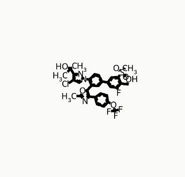 Cc1nc(-c2ccc(OC(F)(F)F)cc2)c(-c2cc(-c3cc(F)c(CO)c(S(C)(=O)=O)c3)ccc2-n2cc(Cl)c(C(C)(C)O)n2)o1